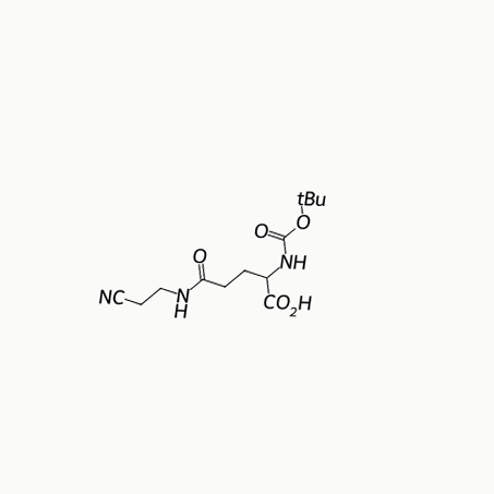 CC(C)(C)OC(=O)NC(CCC(=O)NCCC#N)C(=O)O